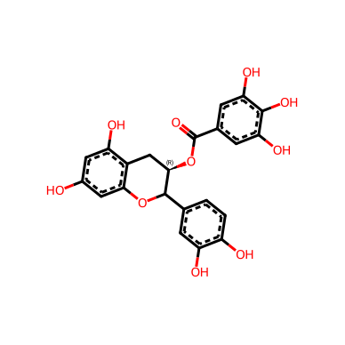 O=C(O[C@@H]1Cc2c(O)cc(O)cc2OC1c1ccc(O)c(O)c1)c1cc(O)c(O)c(O)c1